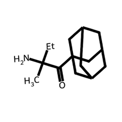 CCC(C)(N)C(=O)C12CC3CC(CC(C3)C1)C2